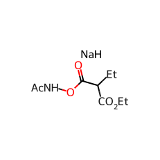 CCOC(=O)C(CC)C(=O)ONC(C)=O.[NaH]